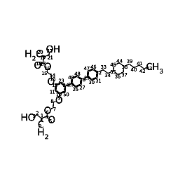 C=C(CO)C(=O)OCCOc1cc(OCCOC(=O)C(=C)CO)cc(-c2ccc(-c3ccc(CCC4CCC(CCCCC)CC4)cc3)cc2)c1